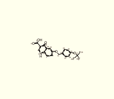 O=C(O)c1c[nH]c2ccc(OCc3ccc(OC(F)(F)F)cc3)cc2c1=O